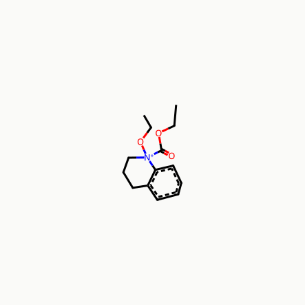 CCOC(=O)[N+]1(OCC)CCCc2ccccc21